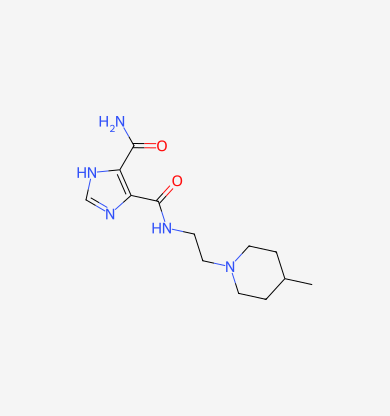 CC1CCN(CCNC(=O)c2nc[nH]c2C(N)=O)CC1